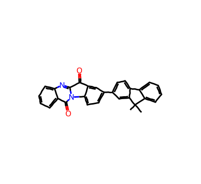 CC1(C)c2ccccc2-c2ccc(-c3ccc4c(c3)C(=O)c3nc5ccccc5c(=O)n3-4)cc21